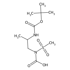 CC(CN(C(=O)O)S(C)(=O)=O)NC(=O)OC(C)(C)C